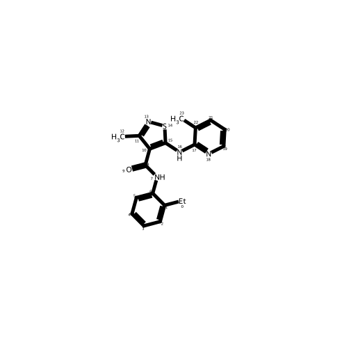 CCc1ccccc1NC(=O)c1c(C)nsc1Nc1ncccc1C